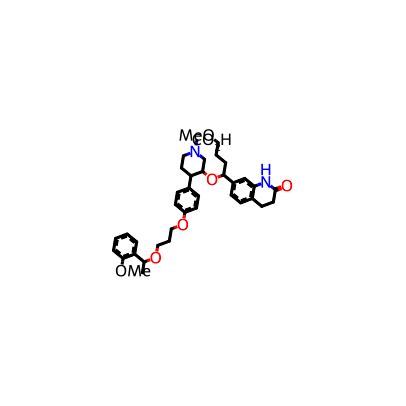 COCCCC(OC1CN(C(=O)O)CCC1c1ccc(OCCCOC(C)c2ccccc2OC)cc1)c1ccc2c(c1)NC(=O)CC2